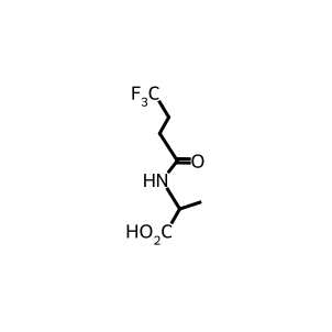 CC(NC(=O)CCC(F)(F)F)C(=O)O